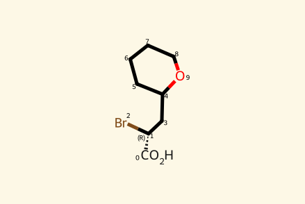 O=C(O)[C@H](Br)CC1CCCCO1